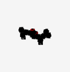 N#Cc1ccc2c(c1)c1cc(-c3ccc4c(c3)Sc3ccc(-c5ccc6c(c5)c5cc(C#N)ccc5n6-c5ccc(-n6c7ccccc7c7ccccc76)cc5)cc3C43c4cccnc4-c4ncccc43)ccc1n2-c1ccccc1